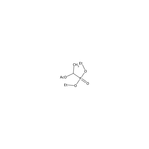 CCOP(=O)(OCC)C(C)OC(C)=O